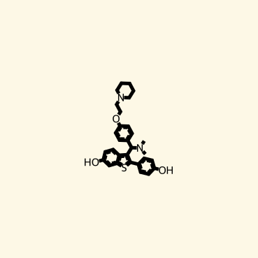 CN(C)C(c1ccc(OCCN2CCCCC2)cc1)c1c(-c2ccc(O)cc2)sc2cc(O)ccc12